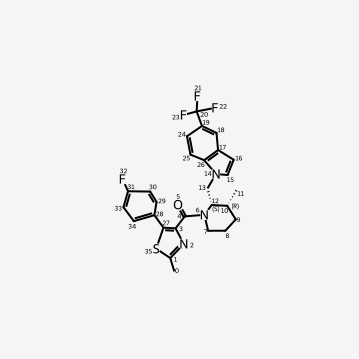 Cc1nc(C(=O)N2CCC[C@@H](C)[C@H]2Cn2ccc3cc(C(F)(F)F)ccc32)c(-c2ccc(F)cc2)s1